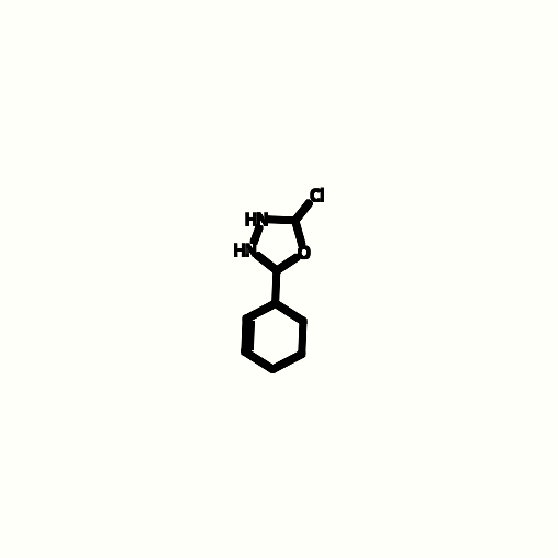 ClC1NNC(C2C=CCCC2)O1